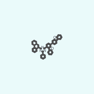 C1=CC2C=C(c3nc(-c4ccccc4)nc(-c4ccc(-c5ccc6c(c5)oc5ccccc56)c5oc6ccccc6c45)n3)c3ccccc3C2C=C1